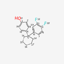 Oc1ccc(C2(c3ccc(F)c(F)c3)CCCCC2)cc1